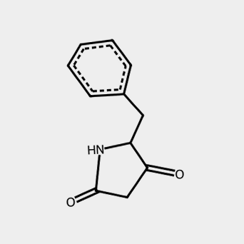 O=C1CC(=O)C(Cc2ccccc2)N1